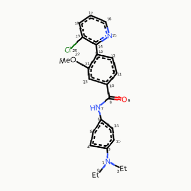 CCN(CC)c1ccc(NC(=O)c2ccc(-c3ncccc3Cl)c(OC)c2)cc1